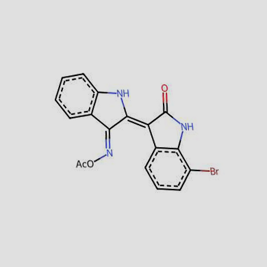 CC(=O)O/N=C1/C(=C2/C(=O)Nc3c(Br)cccc32)Nc2ccccc21